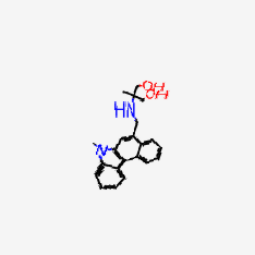 Cn1c2ccccc2c2c3ccccc3c(CNC(C)(CO)CO)cc21